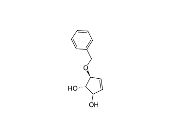 OC1C=C[C@H](OCc2ccccc2)[C@H]1O